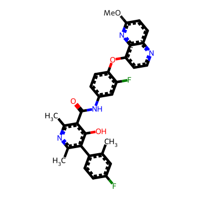 COc1ccc2nccc(Oc3ccc(NC(=O)c4c(C)nc(C)c(-c5ccc(F)cc5C)c4O)cc3F)c2n1